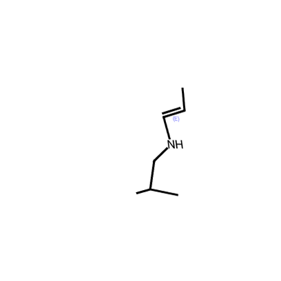 C/C=C/NCC(C)C